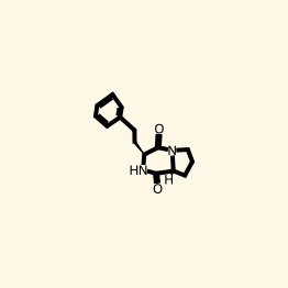 O=C1N[C@@H](CCc2ccccc2)C(=O)N2CCC[C@@H]12